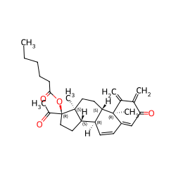 C=C1C(=C)[C@@]2(C)C(=CC1=O)C=C[C@@H]1[C@@H]2CC[C@@]2(C)[C@H]1CC[C@]2(OC(=O)CCCCC)C(C)=O